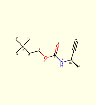 C#C[C@@H](C)NC(=O)OCC[Si](C)(C)C